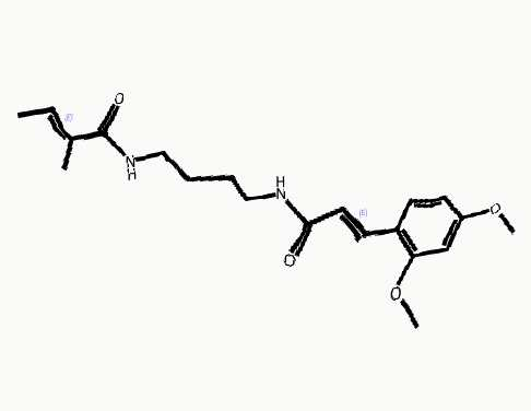 C/C=C(\C)C(=O)NCCCCNC(=O)/C=C/c1ccc(OC)cc1OC